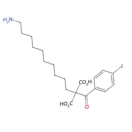 NCCCCCCCCCCC(C(=O)O)(C(=O)O)C(=O)c1ccc(I)cc1